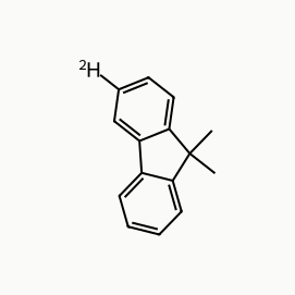 [2H]c1ccc2c(c1)-c1ccccc1C2(C)C